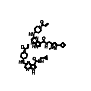 C=CC(=O)N1CCC(Nc2cnc3[nH]cc(C(=O)NCC4CC4)c3n2)CC1.C=CC(=O)N1CCC(Nc2cnc3[nH]cc(C(=O)NCc4cc(C5CCC5)nn4C)c3n2)CC1